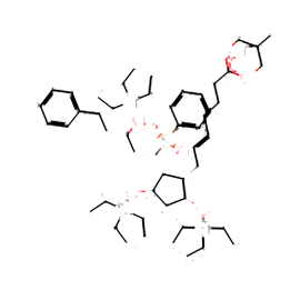 CC[Si](CC)(CC)O[C@@H](CCc1ccccc1)C[C@@H]([C@@H]1[C@@H](CC=CCCCC23OCC(C)(CO2)CO3)[C@@H](O[Si](CC)(CC)CC)C[C@H]1O[Si](CC)(CC)CC)S(=O)(=O)c1ccccc1